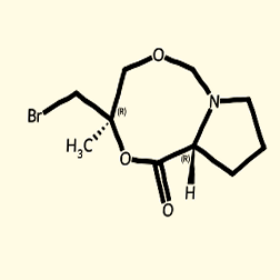 C[C@]1(CBr)COCN2CCC[C@@H]2C(=O)O1